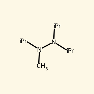 CC(C)N(C)N(C(C)C)C(C)C